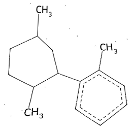 Cc1ccccc1C1CC(C)CCC1C